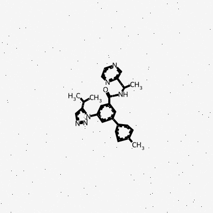 Cc1ccc(-c2cc(C(=O)NC(C)c3cnccn3)cc(-n3nncc3C(C)C)c2)cc1